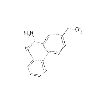 Nc1nc2ccccc2c2ccc(CC(F)(F)F)cc12